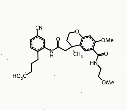 COCCNC(=O)c1cc2c(cc1OC)OCC[C@]2(C)CC(=O)Nc1cc(C#N)ccc1CCCC(=O)O